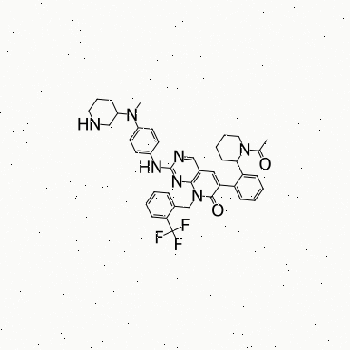 CC(=O)N1CCCCC1c1ccccc1-c1cc2cnc(Nc3ccc(N(C)C4CCCNC4)cc3)nc2n(Cc2ccccc2C(F)(F)F)c1=O